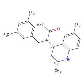 COC(=O)N(Cc1cc(C(F)(F)F)cc(C(F)(F)F)c1)[C@H]1C[C@@H](C)Nc2ccc(C(F)(F)F)cc21